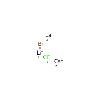 [Br-].[Cl-].[Cs+].[La].[Li+]